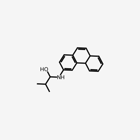 CC(C)C(O)Nc1ccc2c(c1)C1C=CC=CC1C=C2